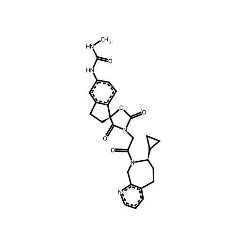 CNC(=O)Nc1ccc2c(c1)CC[C@]21OC(=O)N(CC(=O)N2Cc3ncccc3CC[C@@H]2C2CC2)C1=O